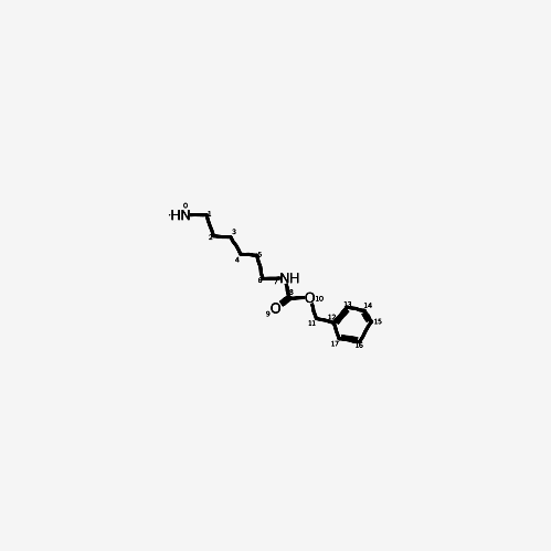 [NH]CCCCCCNC(=O)OCc1ccccc1